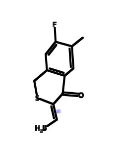 B/C=C1\SCc2cc(F)c(C)cc2C1=O